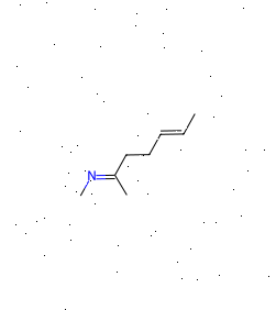 C/C=C/CC/C(C)=N/C